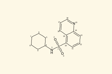 O=S(=O)(NC1CCCCC1)c1cccc2ncccc12